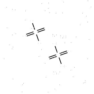 N.N.O=S(=O)(O)O.O=S(=O)([O-])[O-].[Zn+2]